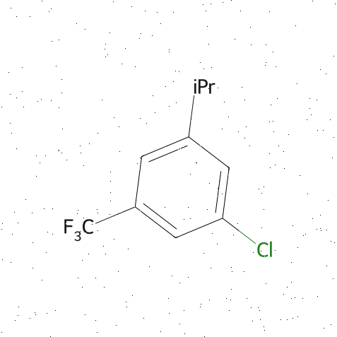 CC(C)c1cc(Cl)cc(C(F)(F)F)c1